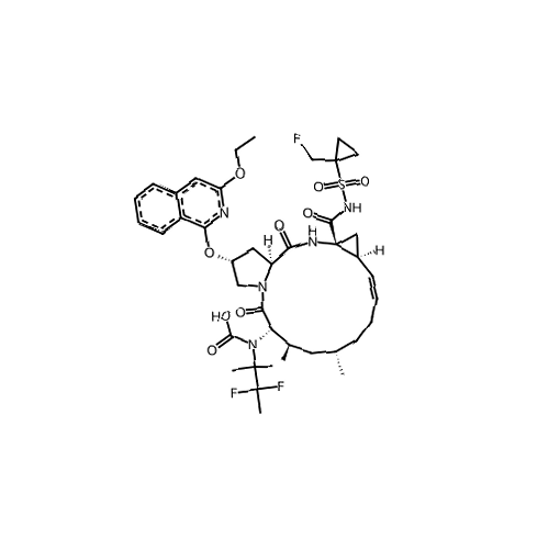 CCOc1cc2ccccc2c(O[C@@H]2C[C@H]3C(=O)N[C@]4(C(=O)NS(=O)(=O)C5(CF)CC5)C[C@H]4/C=C\CC[C@H](C)C[C@@H](C)[C@H](N(C(=O)O)C(C)(C)C(C)(F)F)C(=O)N3C2)n1